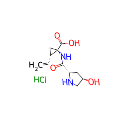 C=C[C@@H]1C[C@]1(NC(=O)[C@@H]1C[C@@H](O)CN1)C(=O)O.Cl